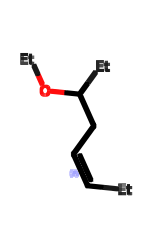 CC/C=C\CC(CC)OCC